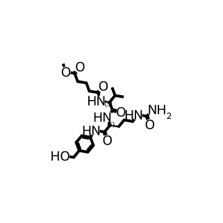 COC(=O)CCCC(=O)N[C@H](C(=O)N[C@@H](CCCNC(N)=O)C(=O)Nc1ccc(CO)cc1)C(C)C